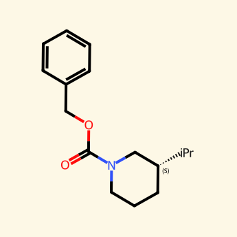 CC(C)[C@@H]1CCCN(C(=O)OCc2ccccc2)C1